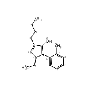 CCCCc1nn(CC)c(-c2ccccc2C)c1O